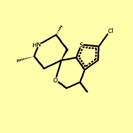 CC1CO[C@@]2(C[C@@H](C)N[C@@H](C)C2)c2sc(Cl)cc21